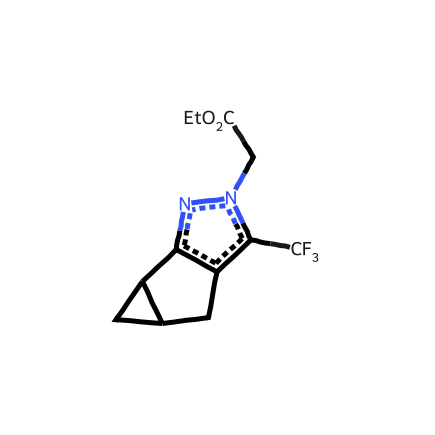 CCOC(=O)Cn1nc2c(c1C(F)(F)F)CC1CC21